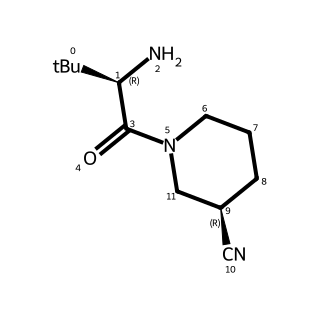 CC(C)(C)[C@@H](N)C(=O)N1CCC[C@@H](C#N)C1